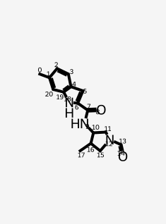 Cc1ccc2cc(C(=O)NC3CN(C=O)CC3C)[nH]c2c1